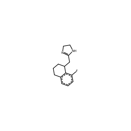 Fc1cccc2c1C(CC1=NCCN1)CCC2